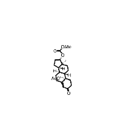 COC(=O)O[C@H]1CC[C@H]2[C@@H]3CCC4=CC(=O)CC[C@]4(COC(C)=O)[C@H]3CC[C@]12C